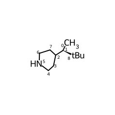 C[C@H](C1CCNCC1)C(C)(C)C